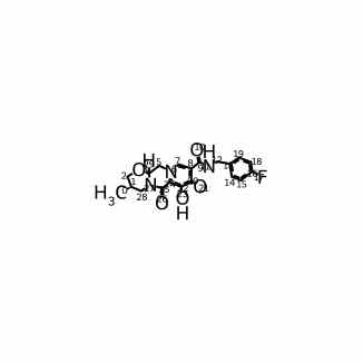 C[C@H]1CO[C@@H]2Cn3cc(C(=O)NCc4ccc(F)cc4)c(=O)c(O)c3C(=O)N2C1